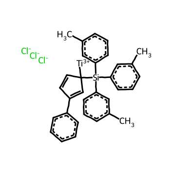 Cc1cccc([Si](c2cccc(C)c2)(c2cccc(C)c2)[C]2([Ti+3])C=CC(c3ccccc3)=C2)c1.[Cl-].[Cl-].[Cl-]